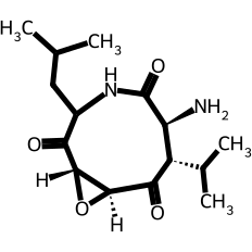 CC(C)CC1NC(=O)[C@@H](N)[C@H](C(C)C)C(=O)[C@H]2O[C@@H]2C1=O